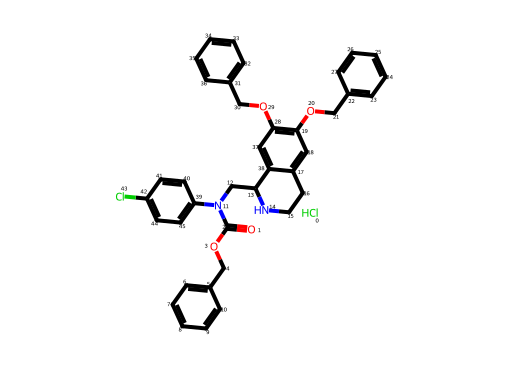 Cl.O=C(OCc1ccccc1)N(CC1NCCc2cc(OCc3ccccc3)c(OCc3ccccc3)cc21)c1ccc(Cl)cc1